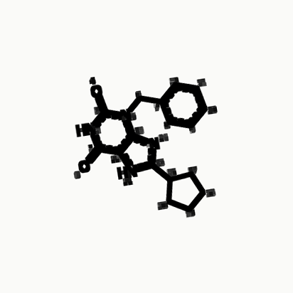 O=c1[nH]c(=O)n(Cc2ccccc2)c2nc(C3CCCC3)[nH]c12